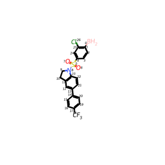 Bc1ccc(S(=O)(=O)N2CCc3cc(-c4ccc(C(F)(F)F)cc4)ccc32)cc1Cl